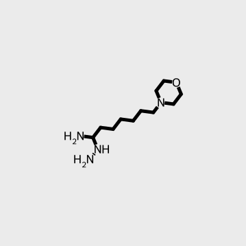 NNC(N)CCCCCCN1CCOCC1